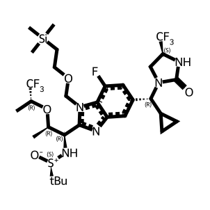 C[C@@H](O[C@H](C)C(F)(F)F)[C@H](N[S@+]([O-])C(C)(C)C)c1nc2cc([C@@H](C3CC3)N3C[C@@H](C(F)(F)F)NC3=O)cc(F)c2n1COCC[Si](C)(C)C